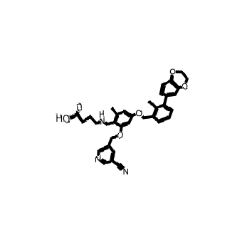 Cc1cc(OCc2cccc(-c3ccc4c(c3)OCCO4)c2C)cc(OCc2cncc(C#N)c2)c1CNCCCC(=O)O